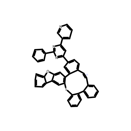 C1=C\c2ccc(-c3cc(-c4cccnc4)nc(-c4ccccc4)n3)cc2-c2cc3oc4ccccc4c3cc2Sc2ccccc2-c2ccccc2/1